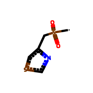 [CH2]S(=O)(=O)Cc1cscn1